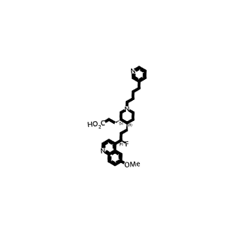 COc1ccc2nccc([C@H](F)CC[C@@H]3CCN(CCCCc4cccnc4)C[C@H]3CCC(=O)O)c2c1